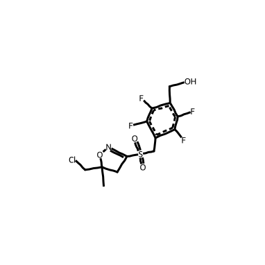 CC1(CCl)CC(S(=O)(=O)Cc2c(F)c(F)c(CO)c(F)c2F)=NO1